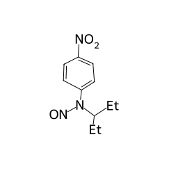 CCC(CC)N(N=O)c1ccc([N+](=O)[O-])cc1